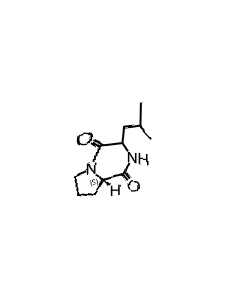 CC(C)CC1NC(=O)[C@@H]2CCCN2C1=O